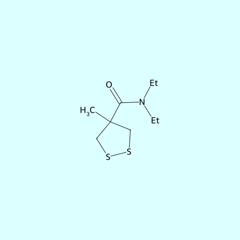 CCN(CC)C(=O)C1(C)CSSC1